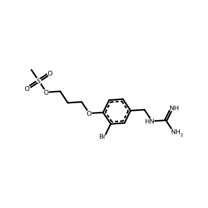 CS(=O)(=O)OCCCOc1ccc(CNC(=N)N)cc1Br